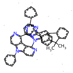 CC1(C)c2ccccc2-c2cc3c4ccccc4n(-c4nccc5c4c4c(-c6nc(-c7ccccc7)nc(-c7ccccc7)n6)nccc4n5-c4ccccc4)c3cc21